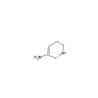 NC1=CCCNC1